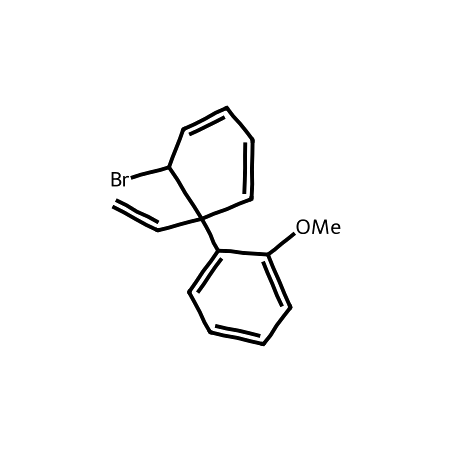 C=CC1(c2ccccc2OC)C=CC=CC1Br